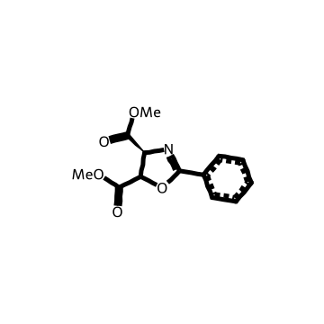 COC(=O)C1OC(c2ccccc2)=N[C@@H]1C(=O)OC